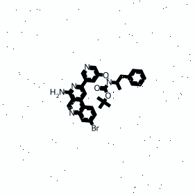 CC(Cc1ccccc1)N(Oc1cncc(-c2cc3c(cnc4cc(Br)ccc43)c(N)n2)c1)C(=O)OC(C)(C)C